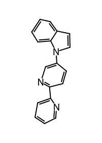 c1ccc(-c2ccc(-n3ccc4ccccc43)cn2)nc1